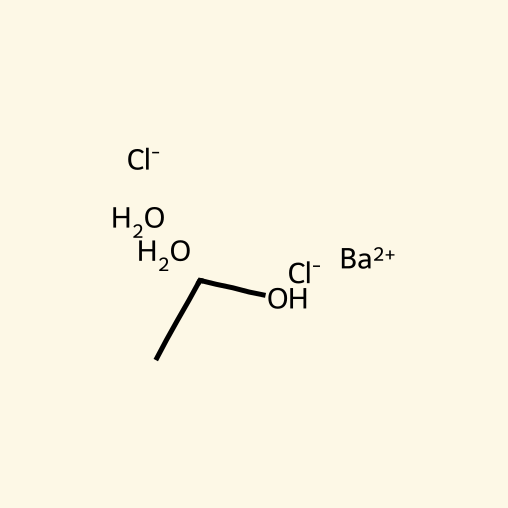 CCO.O.O.[Ba+2].[Cl-].[Cl-]